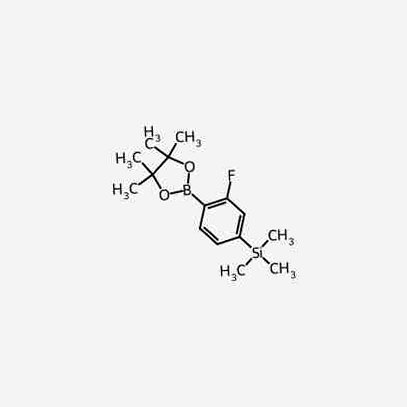 CC1(C)OB(c2ccc([Si](C)(C)C)cc2F)OC1(C)C